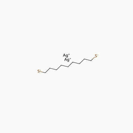 [Ag+].[Ag+].[S-]CCCCCCCCC[S-]